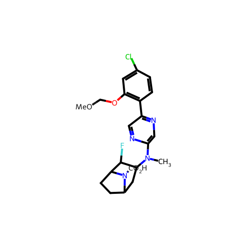 COCOc1cc(Cl)ccc1-c1cnc(N(C)C2CC3CCC(C2F)N3C(=O)O)cn1